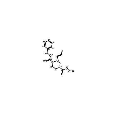 CC=CC1CN(C(=O)OC(C)(C)C)CCC1C(=O)OCc1ccccc1